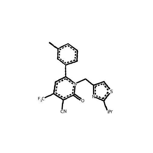 Cc1cccc(-c2cc(C(F)(F)F)c(C#N)c(=O)n2Cc2csc(C(C)C)n2)c1